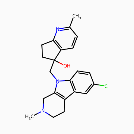 Cc1ccc2c(n1)CCC2(O)Cn1c2c(c3cc(Cl)ccc31)CCN(C)C2